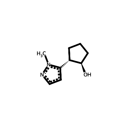 Cn1nccc1[C@@H]1CCC[C@H]1O